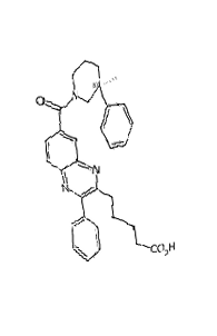 C[C@@]1(c2ccccc2)CCCN(C(=O)c2ccc3nc(-c4ccccc4)c(CCCCC(=O)O)nc3c2)C1